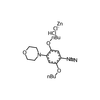 CCCCOc1cc(N2CCOCC2)c(OCCCC)cc1[N+]#N.Cl.[Cl-].[Zn]